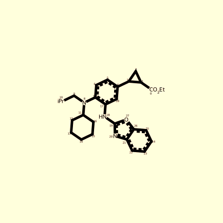 CCOC(=O)C1CC1c1ccc(N(CC(C)C)C2CCCCC2)c(Nc2nc3ccccc3o2)c1